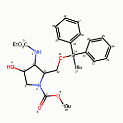 CCOC(=O)NC1C(O)CN(C(=O)OC(C)(C)C)C1CO[Si](c1ccccc1)(c1ccccc1)C(C)(C)C